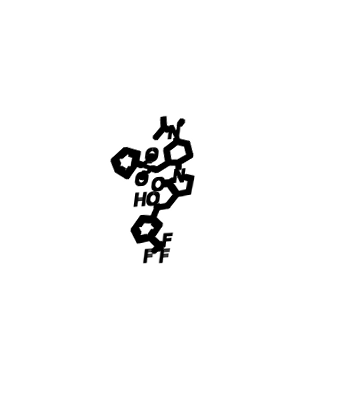 CC(C)N(C)C1CCC(N2CCC(CC(O)c3cccc(C(F)(F)F)c3)C2=O)C(CS(=O)(=O)c2ccccc2)C1